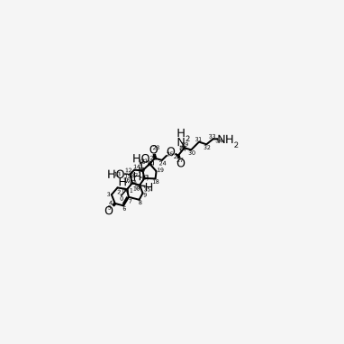 C[C@]12CCC(=O)C=C1CC[C@@H]1[C@@H]2[C@@H](O)C[C@@]2(C)[C@H]1CC[C@]2(O)C(=O)COC(=O)[C@@H](N)CCCCN